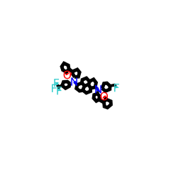 FCc1ccc(N(c2ccc3ccc4c(N(c5ccc(C(F)(F)F)cc5)c5cccc6c5oc5ccccc56)ccc5ccc2c3c54)c2cccc3c2oc2ccccc23)cc1